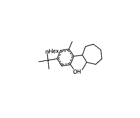 CCCCCCC(C)(C)c1cc(C)c(C2CCCCCC2C)c(O)c1